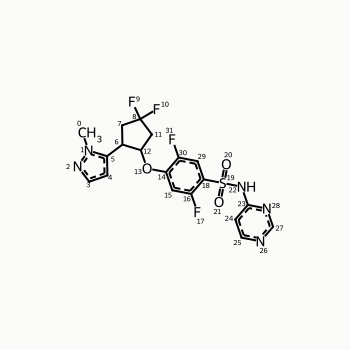 Cn1nccc1C1CC(F)(F)CC1Oc1cc(F)c(S(=O)(=O)Nc2ccncn2)cc1F